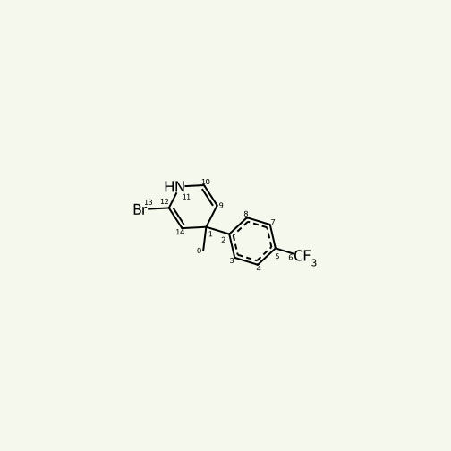 CC1(c2ccc(C(F)(F)F)cc2)C=CNC(Br)=C1